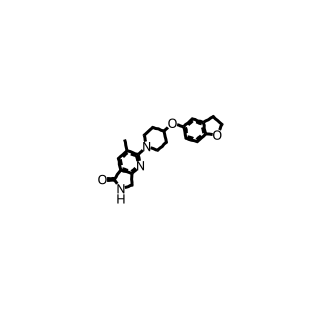 Cc1cc2c(nc1N1CCC(Oc3ccc4c(c3)CCO4)CC1)CNC2=O